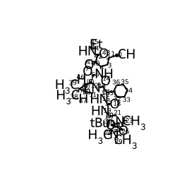 C#CCCC(NC(=O)[C@@H]1[C@@H]2[C@H](CN1C(=O)[C@@H](NC(=O)N[C@H](CN(C)S(=O)(=O)N(C)C)C(C)(C)C)C1CCCCC1)C2(C)C)C(=O)C(=O)NCC